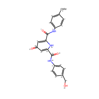 COc1ccc(NC(=O)c2cc(=O)cc(C(=O)Nc3ccc(CO)cc3)[nH]2)cc1